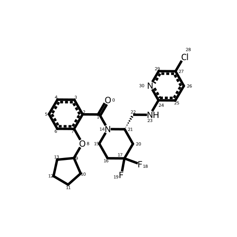 O=C(c1ccccc1OC1CCCC1)N1CCC(F)(F)C[C@H]1CNc1ccc(Cl)cn1